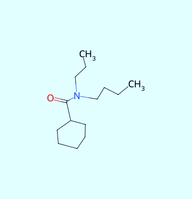 CCCCN(CCC)C(=O)C1CCCCC1